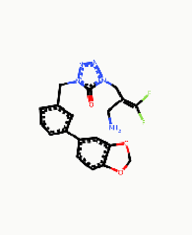 NCC(Cn1nnn(Cc2cccc(-c3ccc4c(c3)OCO4)c2)c1=O)=C(F)F